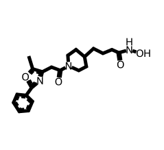 Cc1oc(-c2ccccc2)nc1CC(=O)N1CCC(CCCC(=O)NO)CC1